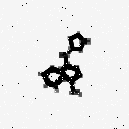 Cc1ccc(N[C@@H]2CCNC2)c2cccnc12